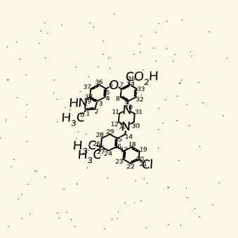 Cc1cc2cc(Oc3cc(N4CCN(CC5=C(c6ccc(Cl)cc6)CC(C)(C)CC5)CC4)ccc3C(=O)O)ccc2[nH]1